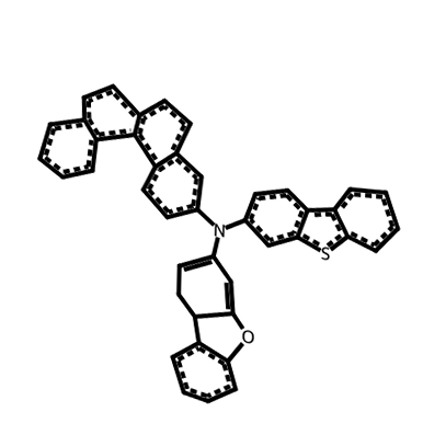 C1=C2Oc3ccccc3C2CC=C1N(c1ccc2c(ccc3ccc4ccccc4c32)c1)c1ccc2c(c1)sc1ccccc12